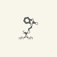 CCCN(CCC)C(=S)OCCn1c(=O)sc2ccccc21